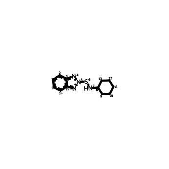 c1ccc2nn(SNC3CCCCC3)nc2c1